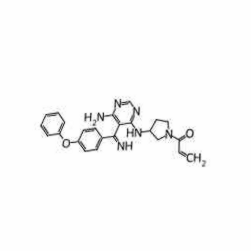 C=CC(=O)N1CCC(Nc2ncnc(N)c2C(=N)c2ccc(Oc3ccccc3)cc2)C1